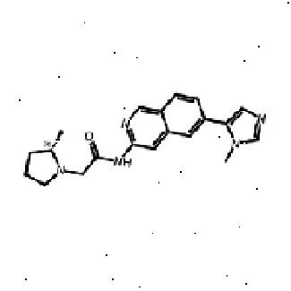 C[C@@H]1CCCN1CC(=O)Nc1cc2cc(-c3cncn3C)ccc2cn1